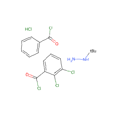 CC(C)(C)NN.Cl.O=C(Cl)c1cccc(Cl)c1Cl.O=C(Cl)c1ccccc1